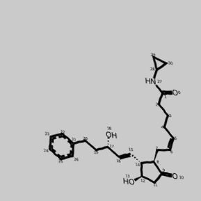 O=C(CCC/C=C\C[C@H]1C(=O)C[C@@H](O)[C@@H]1/C=C/[C@@H](O)CCc1ccccc1)NC1CC1